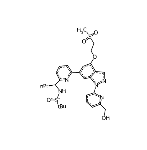 CCC[C@H](N[S+]([O-])C(C)(C)C)c1cccc(-c2cc(OCCS(C)(=O)=O)c3cnn(-c4cccc(CO)n4)c3c2)n1